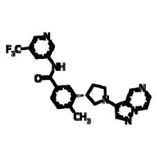 Cc1ccc(C(=O)Nc2cncc(C(F)(F)F)c2)cc1[C@@H]1CCN(c2cnn3ccncc23)C1